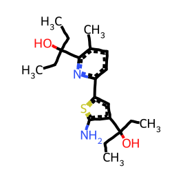 CCC(O)(CC)c1cc(-c2ccc(C)c(C(O)(CC)CC)n2)sc1N